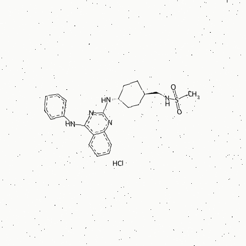 CS(=O)(=O)NC[C@H]1CC[C@H](Nc2nc(Nc3ccccc3)c3ccccc3n2)CC1.Cl